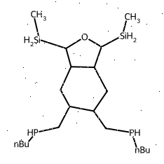 CCCCPCC1CC2C([SiH2]C)OC([SiH2]C)C2CC1CPCCCC